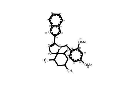 CCC1CC(C)CC(C)C12ON=C(c1cc3ccccc3o1)N2Cc1ccc(OC)cc1OC